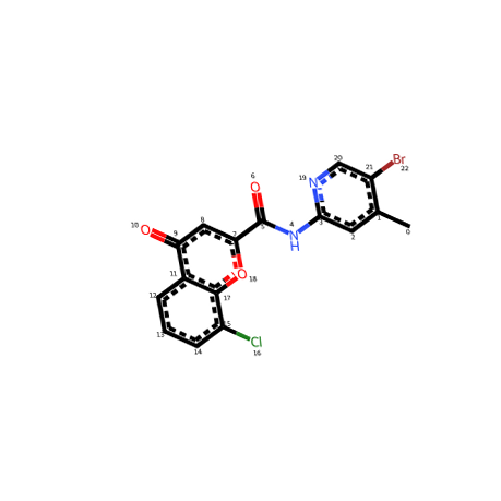 Cc1cc(NC(=O)c2cc(=O)c3cccc(Cl)c3o2)ncc1Br